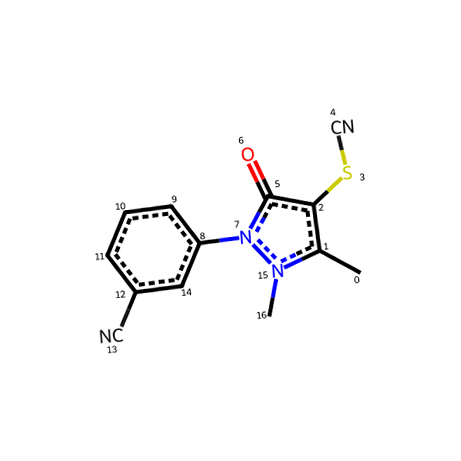 Cc1c(SC#N)c(=O)n(-c2cccc(C#N)c2)n1C